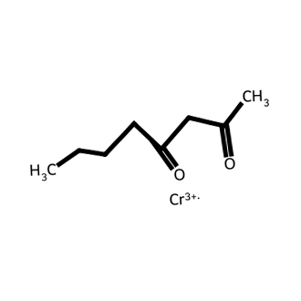 CCCCC(=O)CC(C)=O.[Cr+3]